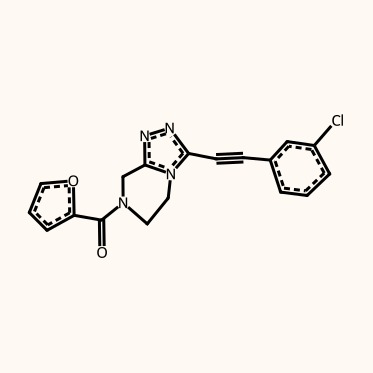 O=C(c1ccco1)N1CCn2c(C#Cc3cccc(Cl)c3)nnc2C1